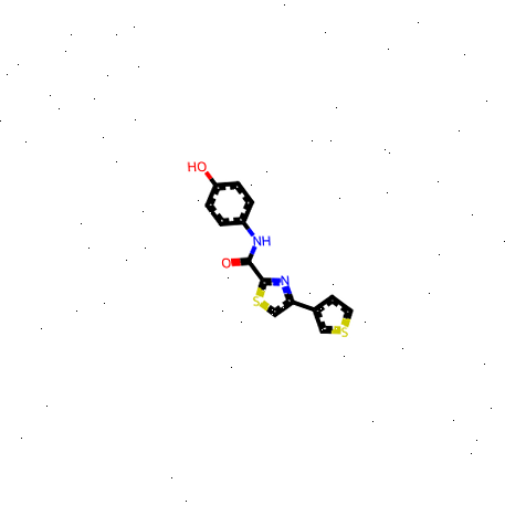 O=C(Nc1ccc(O)cc1)c1nc(-c2ccsc2)cs1